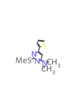 CSc1nc(-c2cccs2)cc(N(C)C)n1